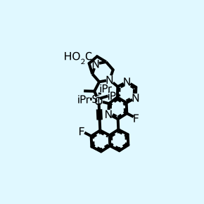 CC1Oc2nc(-c3cccc4ccc(F)c(C#C[Si](C(C)C)(C(C)C)C(C)C)c34)c(F)c3ncnc(c23)N2CC3CCC(C12)N3C(=O)O